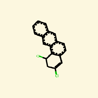 Cl[C]1CC(Cl)=Cc2ccc3cc4ccccc4cc3c21